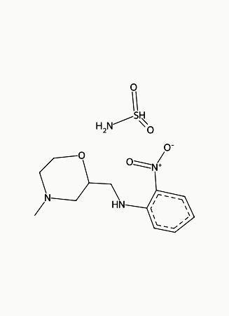 CN1CCOC(CNc2ccccc2[N+](=O)[O-])C1.N[SH](=O)=O